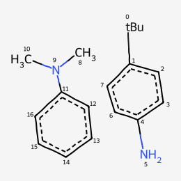 CC(C)(C)c1ccc(N)cc1.CN(C)c1ccccc1